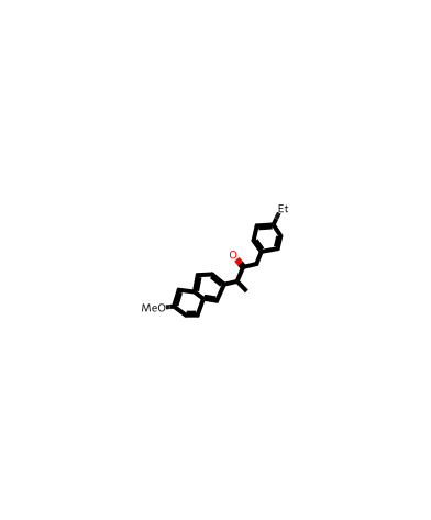 CCc1ccc(CC(=O)C(C)c2ccc3cc(OC)ccc3c2)cc1